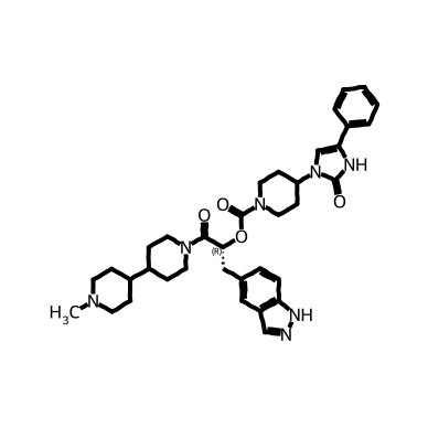 CN1CCC(C2CCN(C(=O)[C@@H](Cc3ccc4[nH]ncc4c3)OC(=O)N3CCC(n4cc(-c5ccccc5)[nH]c4=O)CC3)CC2)CC1